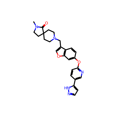 CN1CCC2(CCN(Cc3coc4cc(Oc5ccc(-c6ccn[nH]6)cn5)ccc34)CC2)C1=O